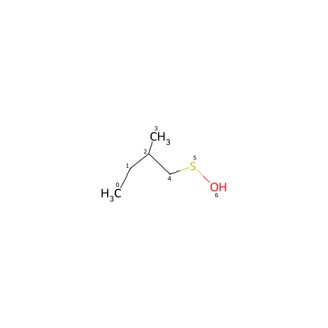 CCC(C)CSO